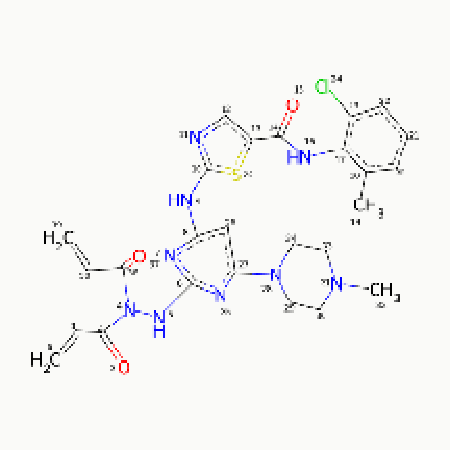 C=CC(=O)N(Nc1nc(Nc2ncc(C(=O)Nc3c(C)cccc3Cl)s2)cc(N2CCN(C)CC2)n1)C(=O)C=C